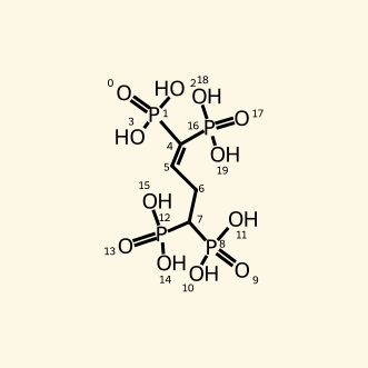 O=P(O)(O)C(=CCC(P(=O)(O)O)P(=O)(O)O)P(=O)(O)O